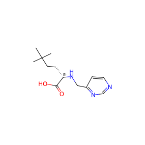 CC(C)(C)CC[C@H](NCc1ccncn1)C(=O)O